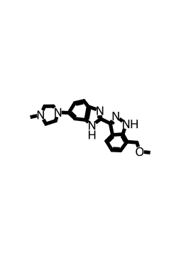 COCc1cccc2c(-c3nc4ccc(N5CCN(C)CC5)cc4[nH]3)n[nH]c12